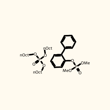 CCCCCCCCOP(=O)(OCCCCCCCC)OCCCCCCCC.COP(=O)(OC)Oc1ccccc1-c1ccccc1